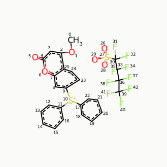 COc1cc(=O)oc2cc([S+](c3ccccc3)c3ccccc3)ccc12.O=S(=O)([O-])C(F)(F)C(F)(F)C(F)(F)C(F)(F)F